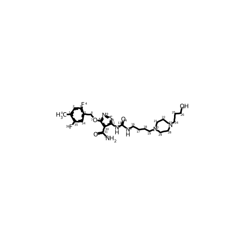 Cc1cc(F)c(COc2nsc(NC(=O)NCCCCN3CCN(CCCO)CC3)c2C(N)=O)cc1F